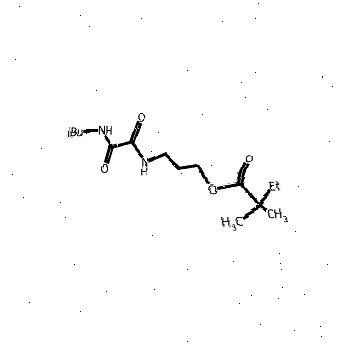 CCC(C)NC(=O)C(=O)NCCCOC(=O)C(C)(C)CC